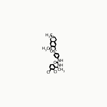 COc1cc2c(cc1C[S+]([O-])c1ccc(NC(=O)NC(C)c3cccc(Cl)c3Cl)cc1)CCN(C)C2